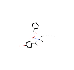 CCOC(=O)C[C@H]1COC[C@@H](c2ccc(Br)cc2)N1C(=O)OCc1ccccc1